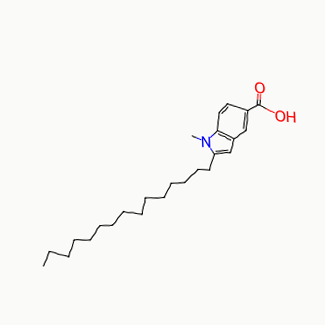 CCCCCCCCCCCCCCCc1cc2cc(C(=O)O)ccc2n1C